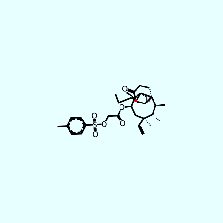 C=C[C@@]1(C)C[C@@H](OC(=O)COS(=O)(=O)c2ccc(C)cc2)[C@]2(C)C(CC)C[C@@]34C[C@@](CCC3=O)([C@@H]42)[C@@H](C)[C@@H]1C